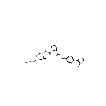 COCCN1CCN(C(C)C(=O)N2C[C@H](O)C[C@H]2C(=O)NCc2ccc(-c3scnc3C)cc2)C(=O)C1